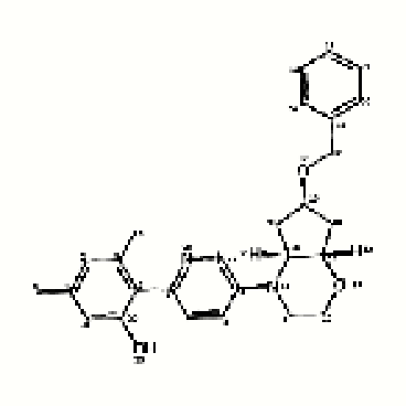 Cc1cc(C)c(-c2ccc(N3CCO[C@H]4C[C@H](OCc5ccccc5)C[C@H]43)nn2)c(O)c1